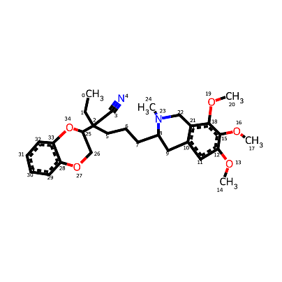 CCC(C#N)(CCCC1Cc2cc(OC)c(OC)c(OC)c2CN1C)C1COc2ccccc2O1